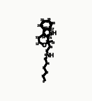 CCCCCCNCCC1(C)OCCc2c1[nH]c1ccccc21